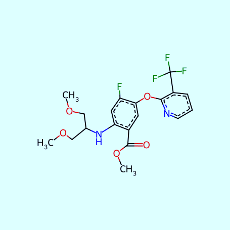 COCC(COC)Nc1cc(F)c(Oc2ncccc2C(F)(F)F)cc1C(=O)OC